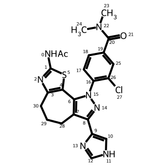 CC(=O)Nc1nc2c(s1)-c1c(c(-c3c[nH]cn3)nn1-c1ccc(C(=O)N(C)C)cc1Cl)CCC2